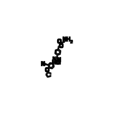 Cl.N#Cc1cc(-c2nc(-c3ccc(COC(=O)CN)cc3)no2)ccc1OC1CCCC1